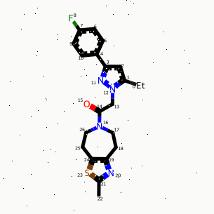 CCc1cc(-c2ccc(F)cc2)nn1CC(=O)N1CCc2nc(C)sc2CC1